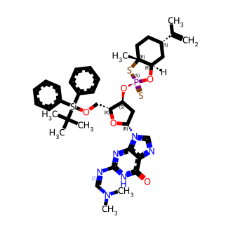 C=C(C)[C@H]1CC[C@@]2(C)S[P@@](=S)(O[C@H]3C[C@H](n4cnc5c(=O)[nH]c(/N=C\N(C)C)nc54)O[C@@H]3CO[Si](c3ccccc3)(c3ccccc3)C(C)(C)C)O[C@@H]2C1